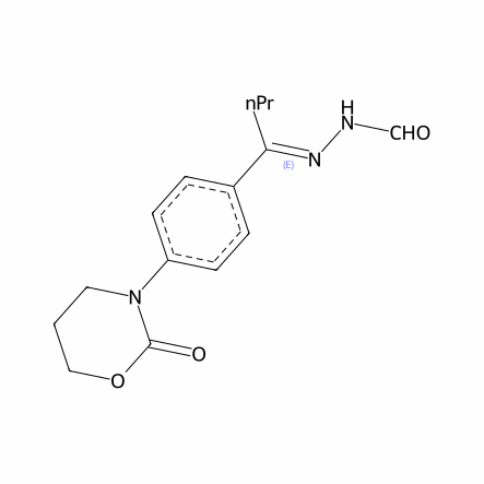 CCC/C(=N\NC=O)c1ccc(N2CCCOC2=O)cc1